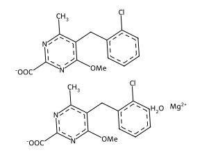 COc1nc(C(=O)[O-])nc(C)c1Cc1ccccc1Cl.COc1nc(C(=O)[O-])nc(C)c1Cc1ccccc1Cl.O.[Mg+2]